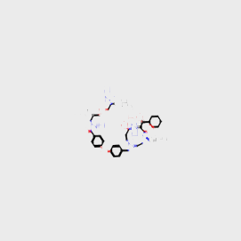 CCCCN1CCN(Cc2ccc(Oc3ccc(C(=O)NCC(C)COCC(C)N)cc3)cc2)CCC(=O)N[C@H]([C@H](O)C2CCCCC2)C1=O